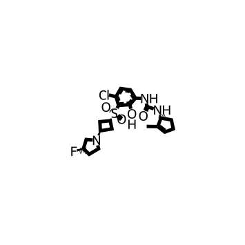 CC1=CCC[C@H]1NC(=O)Nc1ccc(Cl)c(S(=O)(=O)[C@H]2C[C@H](N3CC[C@@H](F)C3)C2)c1O